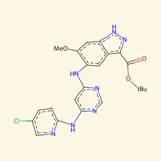 COc1cc2[nH]nc(C(=O)OC(C)(C)C)c2cc1Nc1cc(Nc2ccc(Cl)cn2)ncn1